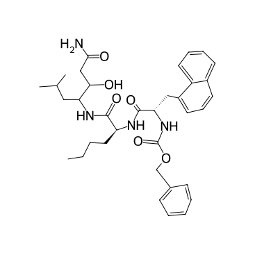 CCCC[C@H](NC(=O)[C@H](Cc1cccc2ccccc12)NC(=O)OCc1ccccc1)C(=O)NC(CC(C)C)C(O)CC(N)=O